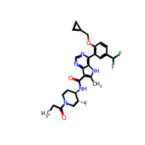 CCC(=O)N1CC[C@@H](NC(=O)c2c(C)[nH]c3c(-c4cc(C(F)F)ccc4OCC4CC4)ncnc23)[C@H](F)C1